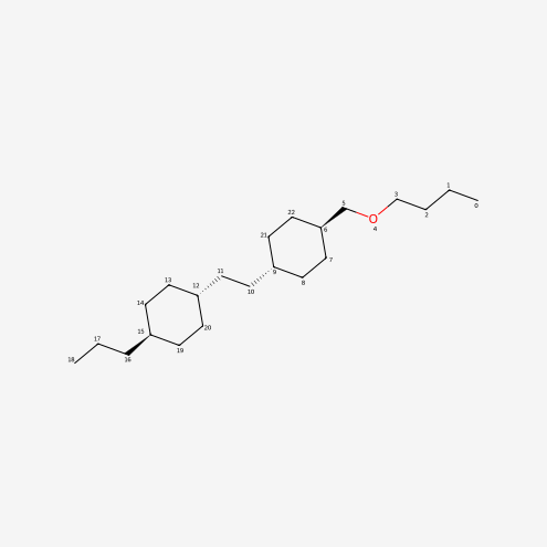 CCCCOC[C@H]1CC[C@H](CC[C@H]2CC[C@H](CCC)CC2)CC1